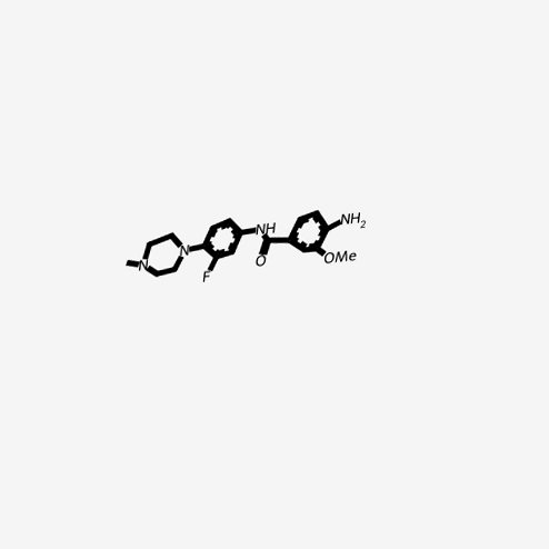 COc1cc(C(=O)Nc2ccc(N3CCN(C)CC3)c(F)c2)ccc1N